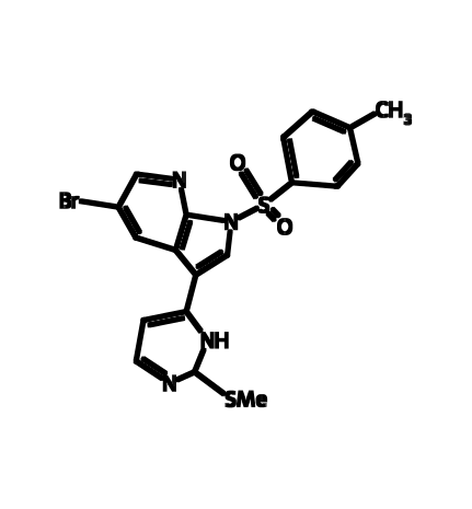 CSC1N=CC=C(c2cn(S(=O)(=O)c3ccc(C)cc3)c3ncc(Br)cc23)N1